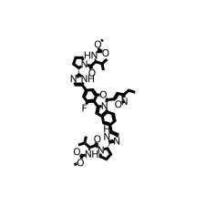 CCc1cc(C2Oc3cc(-c4cnc([C@@H]5CCCN5C(=O)[C@@H](NC(=O)OC)C(C)C)[nH]4)cc(F)c3-c3cc4cc(-c5cnc([C@@H]6CCCN6C(=O)[C@@H](NC(=O)OC)C(C)C)[nH]5)ccc4n32)on1